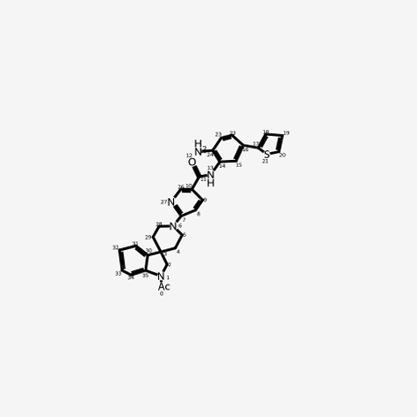 CC(=O)N1CC2(CCN(c3ccc(C(=O)Nc4cc(-c5cccs5)ccc4N)cn3)CC2)c2ccccc21